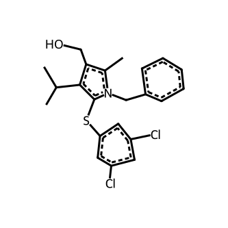 Cc1c(CO)c(C(C)C)c(Sc2cc(Cl)cc(Cl)c2)n1Cc1ccccc1